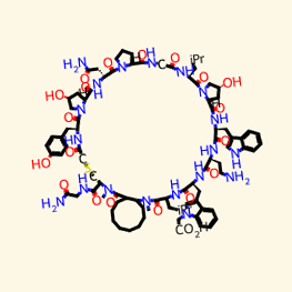 CC(C)CC1NC(=O)[C@H](Cc2cn(CC(=O)O)c3ccccc23)NC(=O)[C@H](CCN)NC(=O)[C@H](Cc2c[nH]c3ccccc23)NC(=O)[C@@H]2C[C@@H](O)CN2C(=O)[C@H](CC(C)C)NC(=O)CNC(=O)[C@H]2CCCN2C(=O)[C@@H](CC(N)=O)NC(=O)[C@@H]2C[C@H](O)CN2C(=O)[C@H](Cc2ccc(O)cc2)NC(=O)CSCC(C(=O)NCC(N)=O)N(C)C(=O)C2CCCCCCCCC2N(C)C1=O